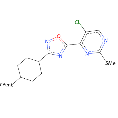 CCCCCC1CCC(c2noc(-c3nc(SC)ncc3Cl)n2)CC1